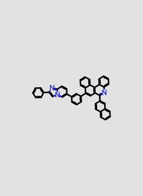 c1ccc(-c2cn3cc(-c4cccc(-c5cc6c(-c7ccc8ccccc8c7)nc7ccccc7c6c6ccccc56)c4)ccc3n2)cc1